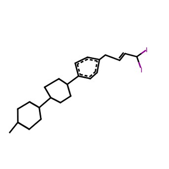 CC1CCC(C2CCC(c3ccc(CC=CC(I)I)cc3)CC2)CC1